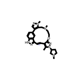 Cc1c2c(nn1C1CCN(C)C1)OCCN(C)Cc1c(cnn1C)-c1ccc3[nH]nc(c3c1)/C=C/2